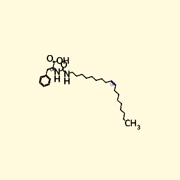 CCCCCCCC/C=C\CCCCCCCCNC(=O)N[C@@H](Cc1ccccc1)C(=O)O